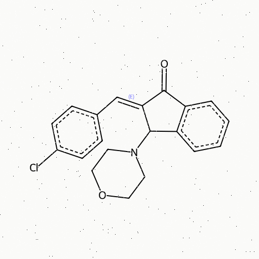 O=C1/C(=C/c2ccc(Cl)cc2)C(N2CCOCC2)c2ccccc21